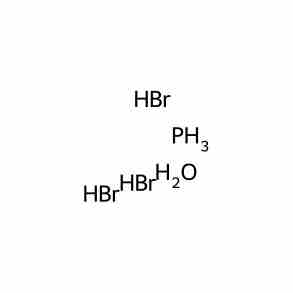 Br.Br.Br.O.P